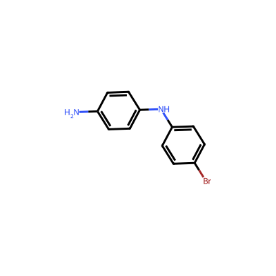 Nc1ccc(Nc2ccc(Br)cc2)cc1